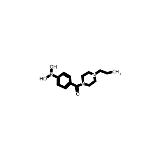 CCCN1CCN(C(=O)c2ccc(B(O)O)cc2)CC1